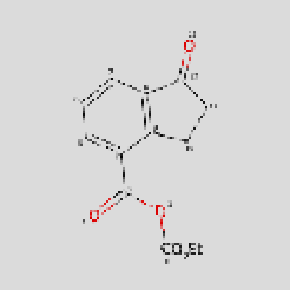 CCOC(=O)OC(=O)c1cccc2c1CCC2=O